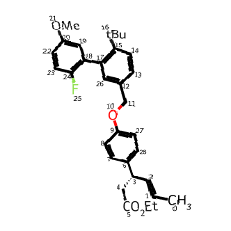 C/C=C/[C@H](CC(=O)OCC)c1ccc(OCc2ccc(C(C)(C)C)c(-c3cc(OC)ccc3F)c2)cc1